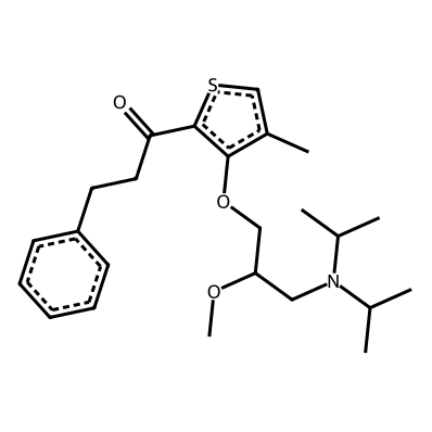 COC(COc1c(C)csc1C(=O)CCc1ccccc1)CN(C(C)C)C(C)C